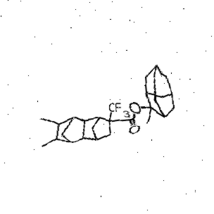 CC1C(C)C2CC1C1C3CC(C21)C(C(=O)OC1(C)C2CC4CC(C2)CC1C4)(C(F)(F)F)C3